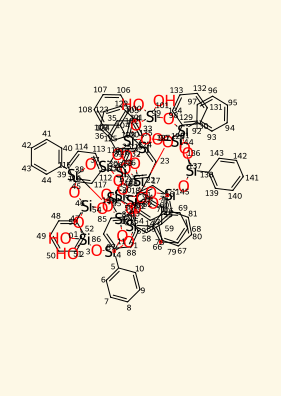 O[Si]1(O)O[Si]2(c3ccccc3)O[Si]3(c4ccccc4)O[Si]4(c5ccccc5)O[Si]5(O[Si]6(c7ccccc7)O[Si](c7ccccc7)(O[Si](c7ccccc7)(O1)O[Si](c1ccccc1)(O6)O[Si](c1ccccc1)(O2)O4)O3)O[Si]1(c2ccccc2)O[Si]2(c3ccccc3)O[Si]3(c4ccccc4)O[Si](O)(O)O[Si]4(c6ccccc6)O[Si](c6ccccc6)(O[Si](c6ccccc6)(O5)O[Si](c5ccccc5)(O4)O[Si](c4ccccc4)(O3)O1)O2